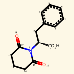 O=C(O)[C@H](Cc1ccccc1)N1C(=O)CCCC1=O